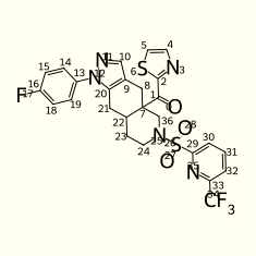 O=C(c1nccs1)C12Cc3cnn(-c4ccc(F)cc4)c3CC1CCN(S(=O)(=O)c1cccc(C(F)(F)F)n1)C2